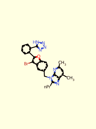 CCCc1nc2c(C)cc(C)nc2n1Cc1ccc2oc(-c3ccccc3-c3nnn[nH]3)c(Br)c2c1